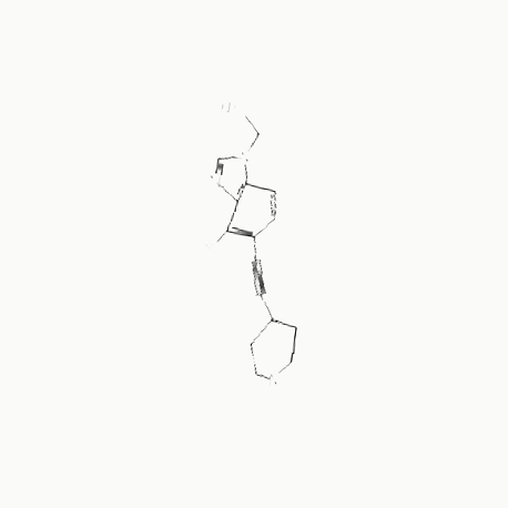 CC(C)(C)Cn1cnc2c(Br)c(C#CC3CCNCC3)ccc21